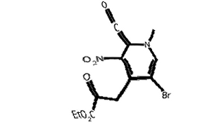 CCOC(=O)C(=O)CC1=C([N+](=O)[O-])C(=C=O)N(C)C=C1Br